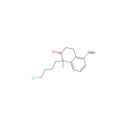 COc1cccc2c1CCC(=O)C2(C)CCCCCl